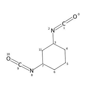 O=C=NC1CCCC(N=C=O)C1